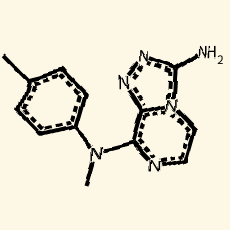 Cc1ccc(N(C)c2nccn3c(N)nnc23)cc1